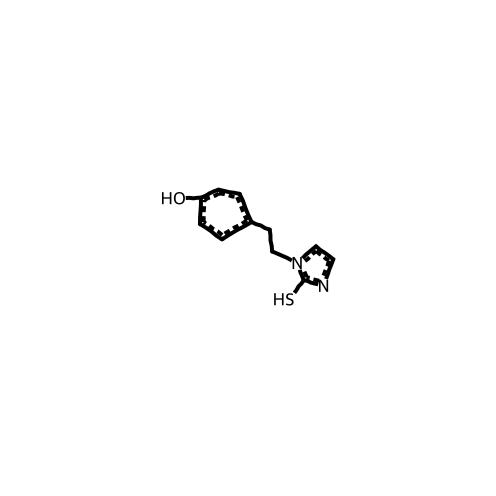 Oc1ccc(CCn2ccnc2S)cc1